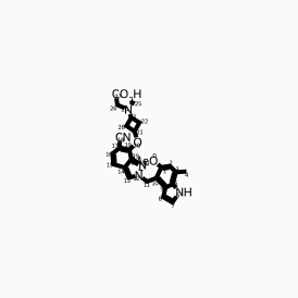 COc1cc(C)c2[nH]ccc2c1Cn1cc2ccc(C#N)c(OC3CC(N(C)CC(=O)O)C3)c2n1